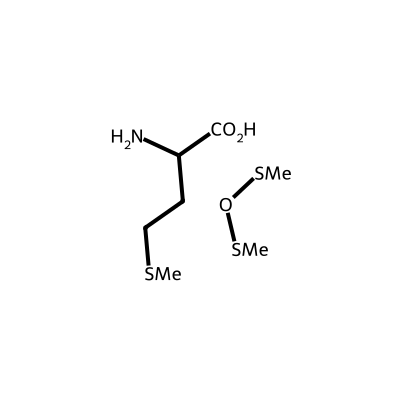 CSCCC(N)C(=O)O.CSOSC